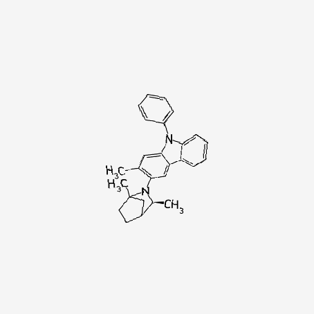 Cc1cc2c(cc1N1[C@@H](C)C3CCC1(C)C3)c1ccccc1n2-c1ccccc1